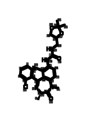 C[C@@H]1N=C(c2ccccc2Cl)c2c(ccc(NC(=O)NCC3COC(C)(C)O3)c2Br)N(C)C1=O